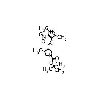 Cc1nn(C)c([N+](=O)[O-])c1OC[C@@H]1CN(C(=O)OC(C)(C)C)C[C@H]1C